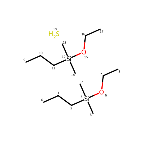 CCC[Si](C)(C)OCC.CCC[Si](C)(C)OCC.S